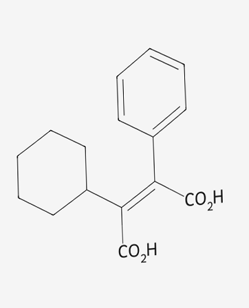 O=C(O)C(=C(C(=O)O)C1CCCCC1)c1ccccc1